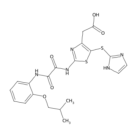 CC(C)COc1ccccc1NC(=O)C(=O)Nc1nc(CC(=O)O)c(Sc2ncc[nH]2)s1